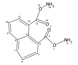 NOC(=O)c1cccc2cccc(C(=O)ON)c12